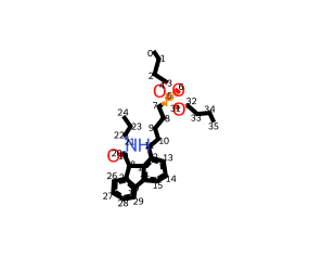 CCCCOP(=O)(CCCCCc1cccc2c1C(C(=O)NCCC)c1ccccc1-2)OCCCC